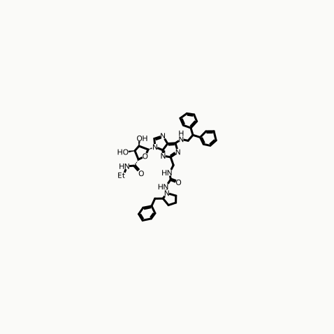 CCNC(=O)[C@H]1O[C@@H](n2cnc3c(NCC(c4ccccc4)c4ccccc4)nc(CNC(=O)NN4CCCC4Cc4ccccc4)nc32)[C@H](O)[C@@H]1O